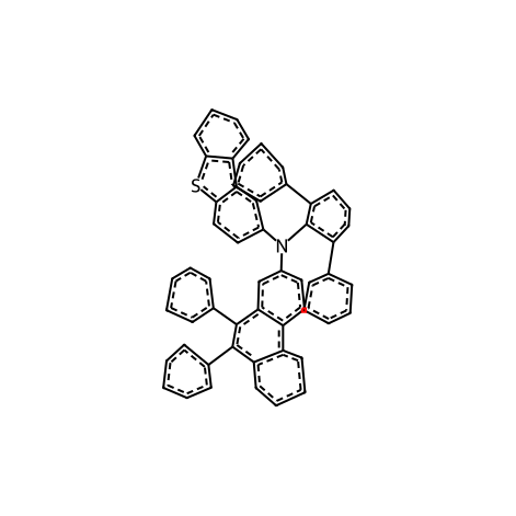 c1ccc(-c2cccc(-c3ccccc3)c2N(c2ccc3c(c2)c(-c2ccccc2)c(-c2ccccc2)c2ccccc23)c2ccc3sc4ccccc4c3c2)cc1